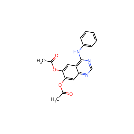 CC(=O)Oc1cc2ncnc(Nc3ccccc3)c2cc1OC(C)=O